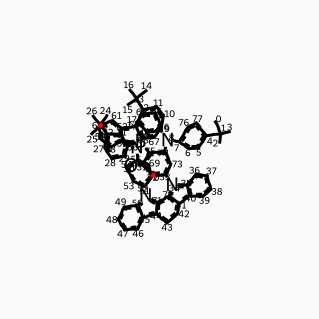 CC(C)(C)c1ccc(N2c3ccc(C(C)(C)C)cc3B3c4cc(C(C)(C)C)ccc4Oc4cc(-n5c6ccccc6c6ccc7c8ccccc8n(-c8ccc(-n9c%10ccccc%10c%10ccccc%109)cc8)c7c65)cc2c43)cc1